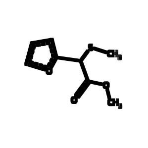 COC(=O)C(SC)c1ccco1